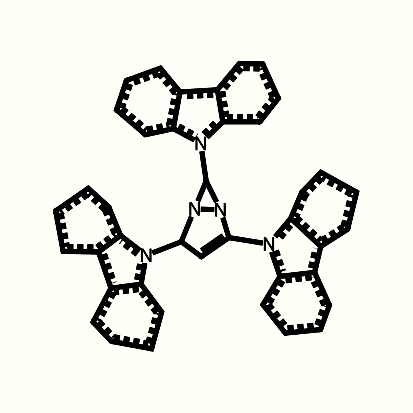 C1=C(n2c3ccccc3c3ccccc32)N2C(n3c4ccccc4c4ccccc43)N2C1n1c2ccccc2c2ccccc21